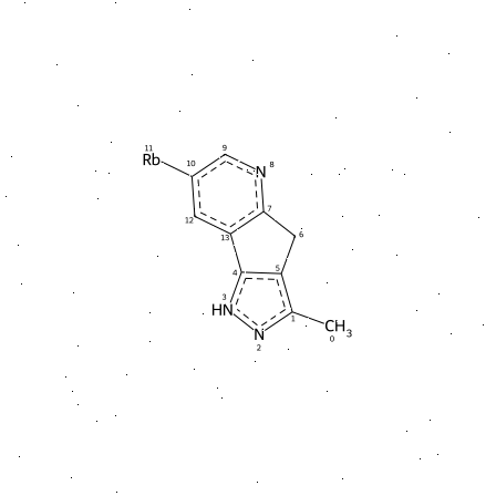 Cc1n[nH]c2c1Cc1nc[c]([Rb])cc1-2